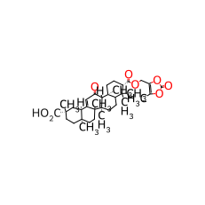 Cc1oc(=O)oc1COC(=O)[C@H]1CC[C@@]2(C)C(CC[C@]3(C)[C@@H]2C(=O)C=C2[C@@H]4C[C@@](C)(C(=O)O)CC[C@]4(C)CC[C@]23C)C1(C)C